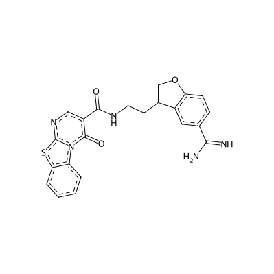 N=C(N)c1ccc2c(c1)C(CCNC(=O)c1cnc3sc4ccccc4n3c1=O)CO2